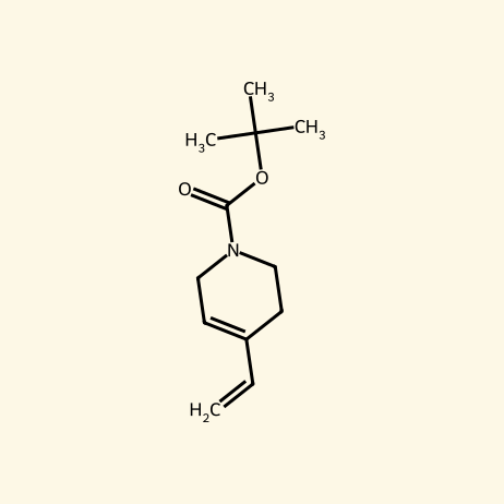 C=CC1=CCN(C(=O)OC(C)(C)C)CC1